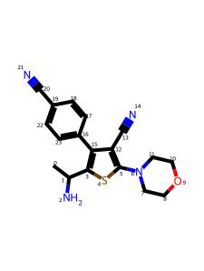 CC(N)c1sc(N2CCOCC2)c(C#N)c1-c1ccc(C#N)cc1